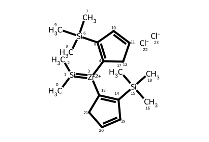 C[Si](C)=[Zr+2]([C]1=C([Si](C)(C)C)C=CC1)[C]1=C([Si](C)(C)C)C=CC1.[Cl-].[Cl-]